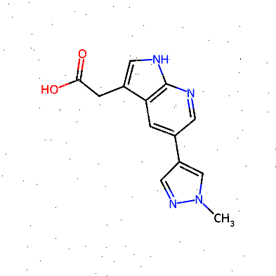 Cn1cc(-c2cnc3[nH]cc(CC(=O)O)c3c2)cn1